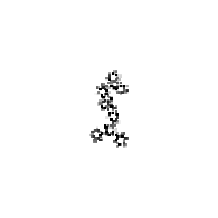 c1ccc(-c2nc(-c3ccccc3)nc(-c3ccc4oc5c(ccc6c7cccc(-n8c9ccccc9c9ccccc98)c7oc65)c4c3)n2)cc1